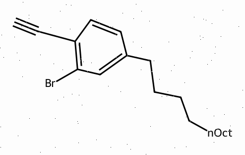 C#Cc1ccc(CCCCCCCCCCCC)cc1Br